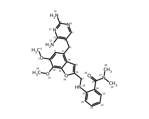 COc1cc(Cc2cnc(N)nc2N)c2cc(CNc3ccccc3C(=O)N(C)C)oc2c1OC